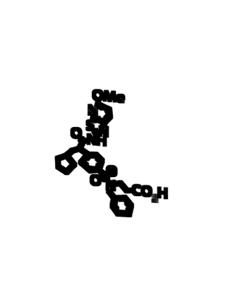 COc1ccc2nc(NC(=O)C(CC3CCCC3)c3ccc(S(=O)(=O)N(CCC(=O)O)Cc4ccccc4)cc3)sc2n1